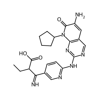 CCC(C(=N)c1ccc(Nc2ncc3cc(N)c(=O)n(C4CCCC4)c3n2)nc1)C(=O)O